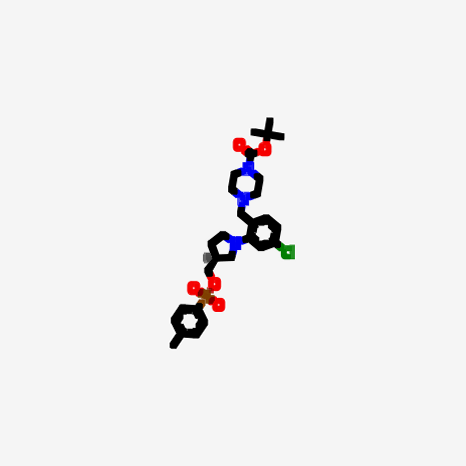 Cc1ccc(S(=O)(=O)OC[C@H]2CCN(c3cc(Cl)ccc3CN3CCN(C(=O)OC(C)(C)C)CC3)C2)cc1